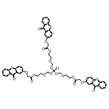 CCC(OCOCCOC(=O)COc1ccc2sc3ccccc3c(=O)c2c1)(OCOCCOC(=O)COc1ccc2sc3ccccc3c(=O)c2c1)OCOCCOC(=O)COc1ccc2sc3ccccc3c(=O)c2c1